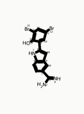 N=C(N)c1ccc2[nH]c(-c3cc(Br)cc(Br)c3O)cc2c1